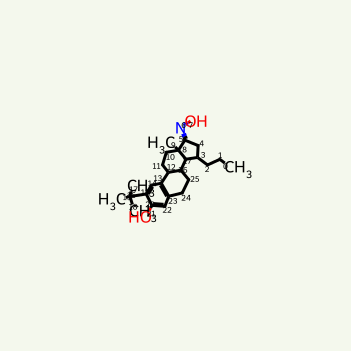 CCCC1C/C(=N\O)C2(C)CCC3c4cc(C(C)(C)C)c(O)cc4CCC3C12